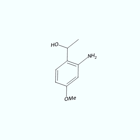 COc1ccc(C(C)O)c(N)c1